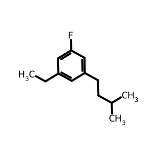 CCc1cc(F)cc(CCC(C)C)c1